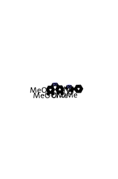 COc1cc(/C=C\c2cc(Cl)c(OC)c(N/C=C\C(=O)c3ccccc3)c2)cc(OC)c1OC